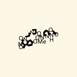 COc1ccc2c3conc3c(=O)n(CCCN3CC[C@@H](OC(=O)N(C)c4ccc5c(n4)NC(=O)CO5)C3)c2c1